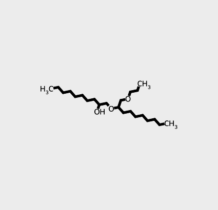 CCCCCCCCC(O)COC(CCCCCCCC)COCCC